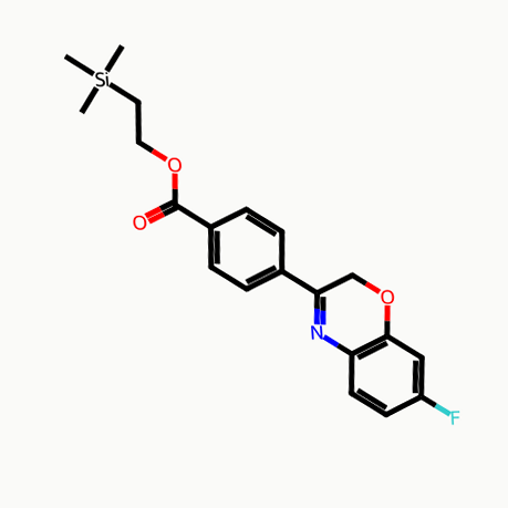 C[Si](C)(C)CCOC(=O)c1ccc(C2=Nc3ccc(F)cc3OC2)cc1